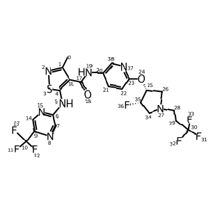 Cc1nsc(Nc2cnc(C(F)(F)F)cn2)c1C(=O)Nc1ccc(O[C@@H]2CN(CCC(F)(F)F)C[C@@H]2F)nc1